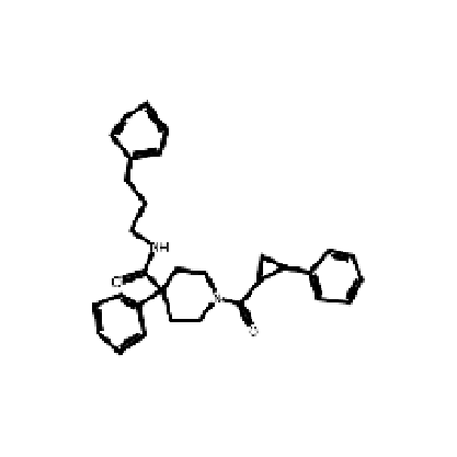 O=C(C1CC1c1ccccc1)N1CCC(C(=O)NCCCc2ccccc2)(c2ccccc2)CC1